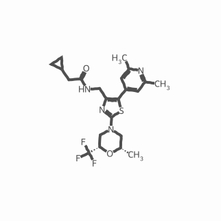 Cc1cc(-c2sc(N3C[C@@H](C(F)(F)F)O[C@@H](C)C3)nc2CNC(=O)CC2CC2)cc(C)n1